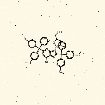 COc1ccc(C(c2ccccc2)(c2ccc(OC)cc2)c2nc(N)c3nc(C(c4ccccc4)(c4ccc(OC)cc4)c4ccc(OC)cc4)n([C@@H]4OC(CO)C[C@H]4I)c3n2)cc1